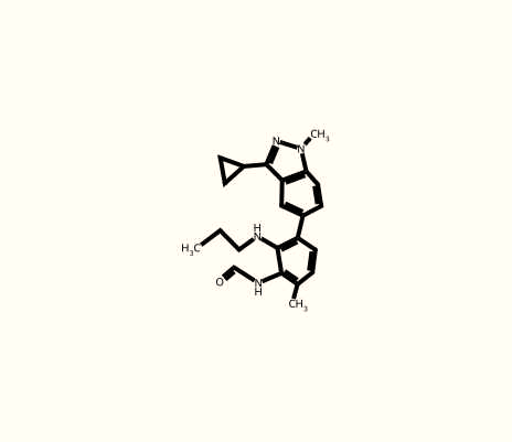 CCCNc1c(-c2ccc3c(c2)c(C2CC2)nn3C)ccc(C)c1NC=O